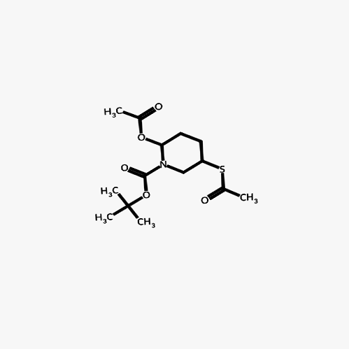 CC(=O)OC1CCC(SC(C)=O)CN1C(=O)OC(C)(C)C